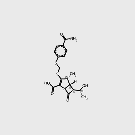 C[C@@H](O)[C@H]1C(=O)N2C(C(=O)O)=C(SCSc3ccc(C(N)=O)cc3)[C@H](C)[C@H]12